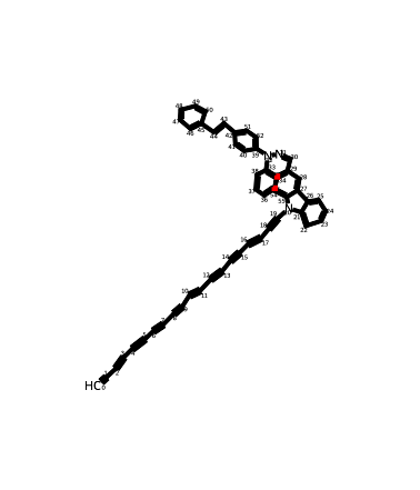 C#CC#CC#CC#CC#CC#CC#CC#CC#CC#Cn1c2ccccc2c2cc(/C=N\N(c3ccccc3)c3ccc(/C=C/c4ccccc4)cc3)ccc21